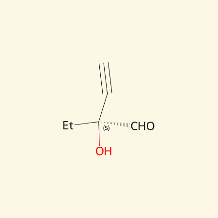 C#C[C@](O)(C=O)CC